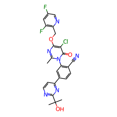 Cc1nc(OCc2ncc(F)cc2F)c(Cl)c(=O)n1-c1cc(-c2ccnc(C(C)(C)O)n2)ccc1C#N